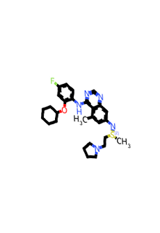 Cc1cc(/N=S(/C)CCN2CCCC2)cc2ncnc(Nc3ccc(F)cc3OC3CCCCC3)c12